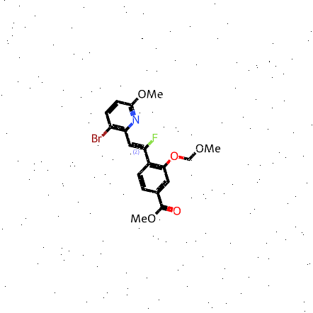 COCOc1cc(C(=O)OC)ccc1/C(F)=C/c1nc(OC)ccc1Br